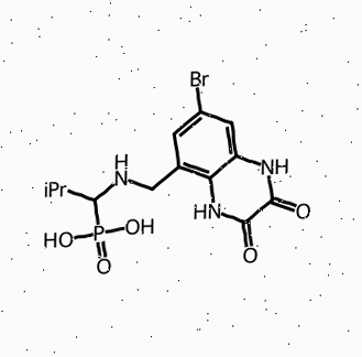 CC(C)C(NCc1cc(Br)cc2[nH]c(=O)c(=O)[nH]c12)P(=O)(O)O